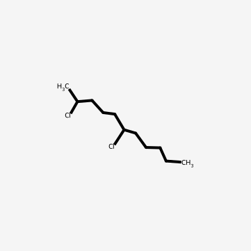 CCCCCC(Cl)CCCC(C)Cl